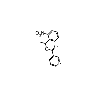 CC(OC(=O)c1cccnc1)c1ccccc1[N+](=O)[O-]